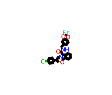 CC(CN1C(=O)c2ccccc2C1C(=O)NCc1ccc2c(c1)OC(F)(F)O2)c1ccc(Cl)cc1